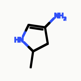 CC1CC(N)=CN1